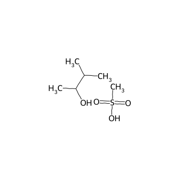 CC(C)C(C)O.CS(=O)(=O)O